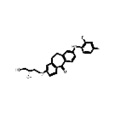 O=C1c2ccc(Nc3ccc(F)cc3F)cc2CCc2cc(OC[C@H](O)CO)ccc21